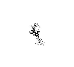 CC(C)(C)OC(=O)NCc1cc(F)c(-c2nn(C(=O)OC(C)(C)C)c3cnccc23)c(C(F)(F)F)c1